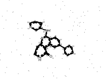 O=c1[nH]ccc2nc(Nc3cccnc3)c3ccc(-c4ccccc4)cc3c12